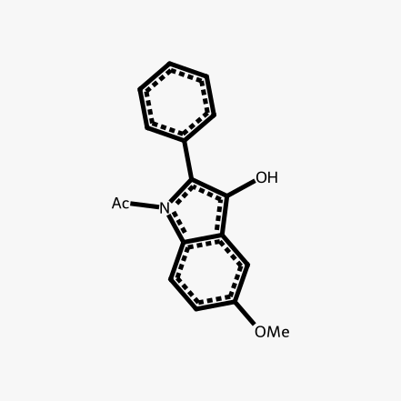 COc1ccc2c(c1)c(O)c(-c1ccccc1)n2C(C)=O